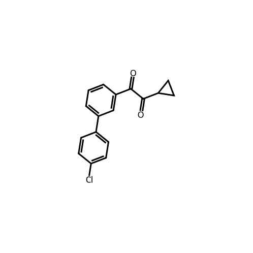 O=C(C(=O)C1CC1)c1cccc(-c2ccc(Cl)cc2)c1